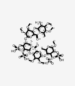 COC1C(OC)[C@H](O[C@H]2O[C@@H](C)[C@@H](O[C@@H]3OC(C=O)[C@@H](O[C@@H]4OC(C)[C@@H](OC)C(OC)[C@@H]4N)C(OC)[C@@H]3OC)C(OS(=O)(=O)O)C2OS(=O)(=O)O)[C@H](C=O)O[C@@H]1O[C@@H]1C(C)O[C@H](OC)[C@@H](OS(=O)(=O)O)C1OS(=O)(=O)O